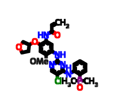 C=CC(=O)Nc1cc(Nc2ncc(Cl)c(Nc3ccccc3P(C)(C)=O)n2)c(OC)cc1OC1CCOC1